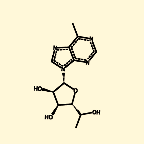 Cc1ncnc2c1ncn2[C@@H]1O[C@H](C(C)O)[C@@H](O)[C@H]1O